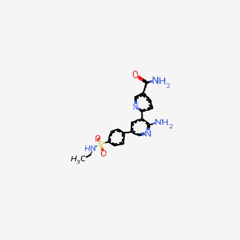 CCNS(=O)(=O)c1ccc(-c2cnc(N)c(-c3ccc(C(N)=O)cn3)c2)cc1